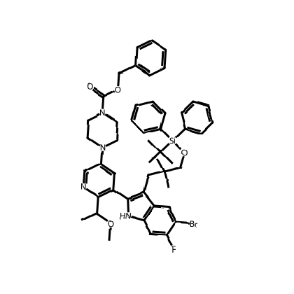 COC(C)c1ncc(N2CCN(C(=O)OCc3ccccc3)CC2)cc1-c1[nH]c2cc(F)c(Br)cc2c1CC(C)(C)CO[Si](c1ccccc1)(c1ccccc1)C(C)(C)C